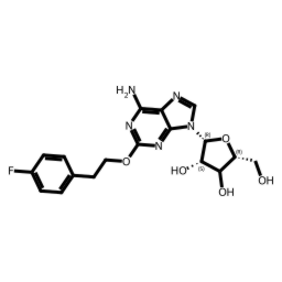 Nc1nc(OCCc2ccc(F)cc2)nc2c1ncn2[C@@H]1O[C@H](CO)C(O)[C@@H]1O